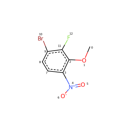 COc1c([N+](=O)[O-])ccc(Br)c1F